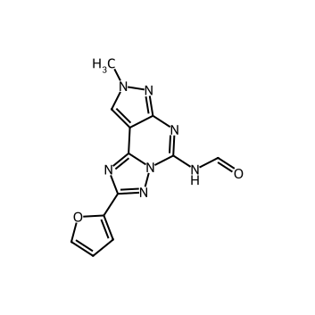 Cn1cc2c(nc(NC=O)n3nc(-c4ccco4)nc23)n1